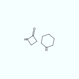 C1CCNCC1.O=C1CCN1